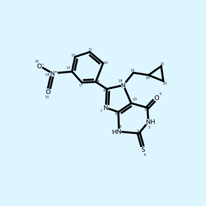 O=c1[nH]c(=S)[nH]c2nc(-c3cccc([N+](=O)[O-])c3)n(CC3CC3)c12